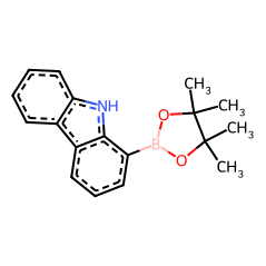 CC1(C)OB(c2cccc3c2[nH]c2ccccc23)OC1(C)C